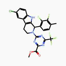 COC(=O)c1nc(N2CCc3c([nH]c4ccc(Cl)cc34)C2c2ccc(C)c(F)c2F)nc(C(F)(F)F)n1